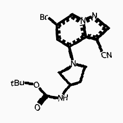 CC(C)(C)OC(=O)NC1CCN(c2cc(Br)cn3ncc(C#N)c23)C1